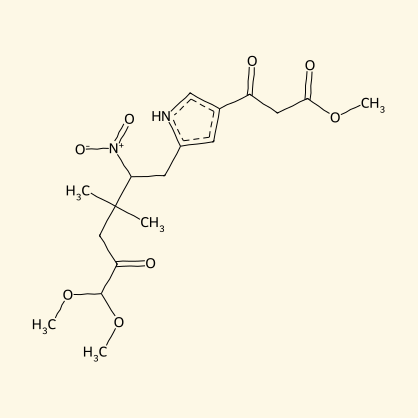 COC(=O)CC(=O)c1c[nH]c(CC([N+](=O)[O-])C(C)(C)CC(=O)C(OC)OC)c1